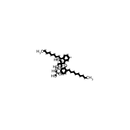 CCCCCCCCCc1ccccc1OC(c1ccccc1CCCCCCCCC)C(CO)(CO)CO.OP(O)O